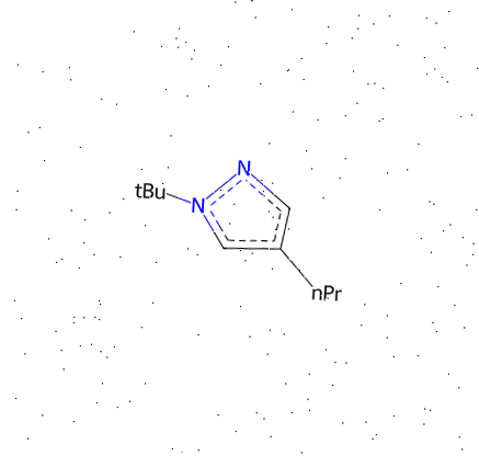 CCCc1cnn(C(C)(C)C)c1